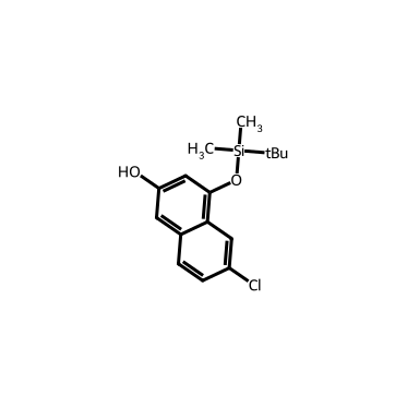 CC(C)(C)[Si](C)(C)Oc1cc(O)cc2ccc(Cl)cc12